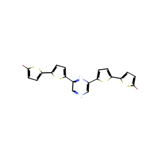 Brc1ccc(-c2ccc(-c3cncc(-c4ccc(-c5ccc(Br)s5)s4)n3)s2)s1